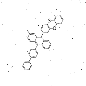 Cc1ccc2c(-c3ccc(-c4ccccc4)cc3)c3ccccc3c(-c3ccc4c(c3)Oc3ccccc3S4)c2c1